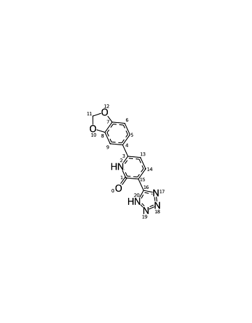 O=c1[nH]c(-c2ccc3c(c2)OCO3)ccc1-c1nnn[nH]1